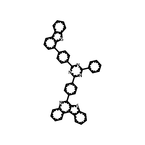 c1ccc(-c2nc(-c3ccc(-c4cccc5c4sc4ccccc45)cc3)nc(-c3ccc(-c4nc5ccccc5c5c4sc4ccccc45)cc3)n2)cc1